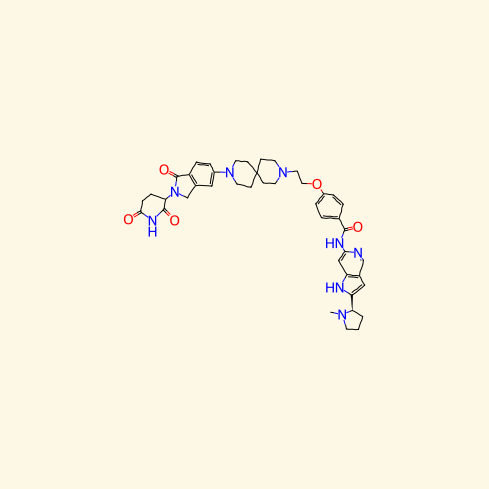 CN1CCC[C@@H]1c1cc2cnc(NC(=O)c3ccc(OCCN4CCC5(CC4)CCN(c4ccc6c(c4)CN(C4CCC(=O)NC4=O)C6=O)CC5)cc3)cc2[nH]1